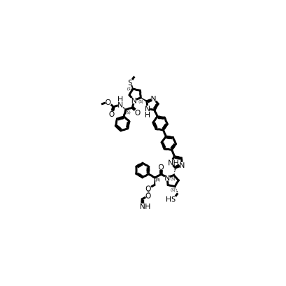 COC(=O)N[C@H](C(=O)N1C[C@@H](SC)C[C@H]1c1ncc(-c2ccc(-c3ccc(-c4cnc([C@@H]5C[C@H](CS)CN5C(=O)[C@@H](COOC=N)c5ccccc5)[nH]4)cc3)cc2)[nH]1)c1ccccc1